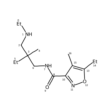 CCNCC(C)(CC)CNC(=O)c1noc(CC)c1C